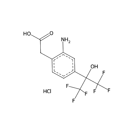 Cl.Nc1cc(C(O)(C(F)(F)F)C(F)(F)F)ccc1CC(=O)O